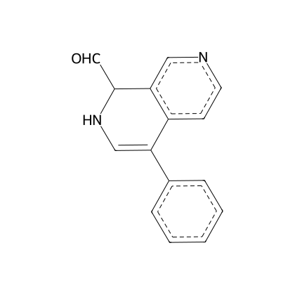 O=CC1NC=C(c2ccccc2)c2ccncc21